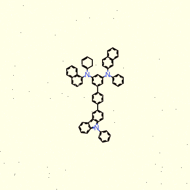 C1=CCCC(N(c2cc(-c3ccc(-c4ccc5c(c4)c4ccccc4n5-c4ccccc4)cc3)cc(N(c3ccccc3)c3ccc4ccccc4c3)c2)c2cccc3ccccc23)=C1